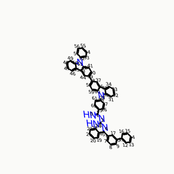 N=C(/N=c1/nc(-c2cccc(-c3ccccc3)c2)c2ccccc2[nH]1)c1ccc(-n2c3ccccc3c3cc(-c4ccc5c(c4)c4ccccc4n5-c4ccccc4)ccc32)cc1